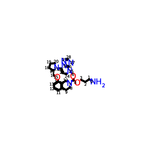 NCCCOC(=O)N1CCc2cccc(OC[C@H]3CCCN3c3ccnc4ncnn34)c2C1